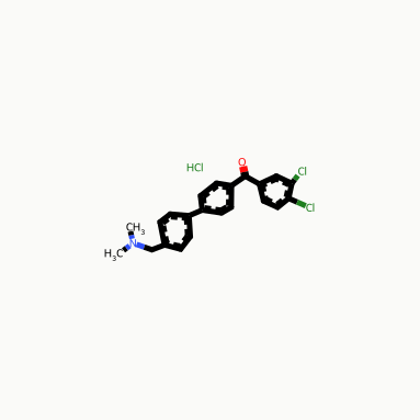 CN(C)Cc1ccc(-c2ccc(C(=O)c3ccc(Cl)c(Cl)c3)cc2)cc1.Cl